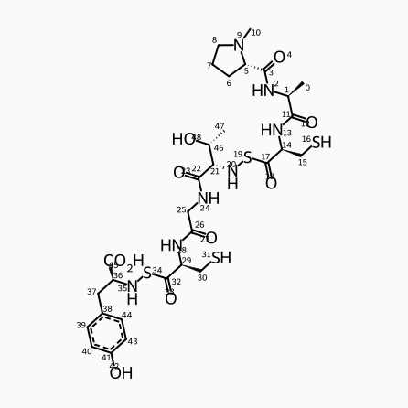 C[C@H](NC(=O)[C@@H]1CCCN1C)C(=O)N[C@@H](CS)C(=O)SN[C@H](C(=O)NCC(=O)N[C@@H](CS)C(=O)SN[C@@H](Cc1ccc(O)cc1)C(=O)O)[C@@H](C)O